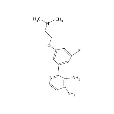 CN(C)CCOc1cc(F)cc(-c2nccc(N)c2N)c1